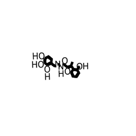 Cc1c(C(=O)NN=Cc2ccc(O)c(O)c2O)oc2cccc(O)c12